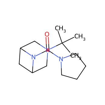 CC(C)(C)N1CC2CC(C1)N2C(=O)N1CCCC1